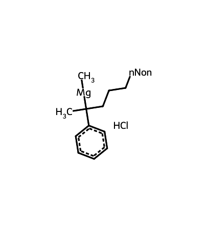 CCCCCCCCCCCC[C](C)([Mg][CH3])c1ccccc1.Cl